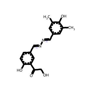 Cc1cc(/C=N/N=C/c2ccc(O)c(C(=O)CO)c2)cc(C)c1O